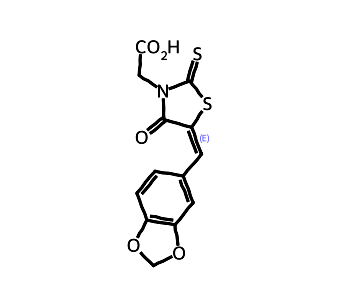 O=C(O)CN1C(=O)/C(=C\c2ccc3c(c2)OCO3)SC1=S